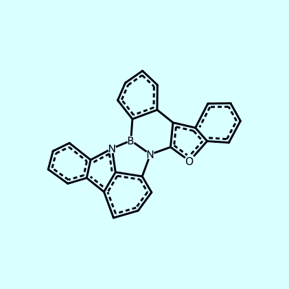 c1ccc2c(c1)B1N(c3oc4ccccc4c3-2)c2cccc3c4ccccc4n1c23